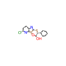 O=C(O)C(Sc1nc2ccc(Cl)nc2s1)c1ccccc1